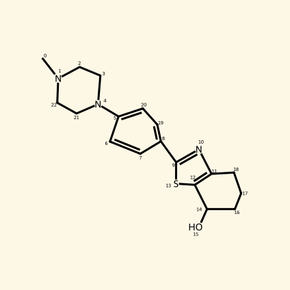 CN1CCN(c2ccc(-c3nc4c(s3)C(O)CCC4)cc2)CC1